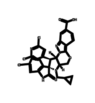 O=C(O)c1ccc2c3n(nc2c1)[C@@H]1[C@H](CO3)N(CC2CC2)[C@@]2(C(=O)Nc3cc(Cl)ccc32)[C@H]1c1cc(Cl)nc(Cl)c1